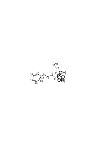 CCCCP(O)(O)(O)CCCCc1ccccc1